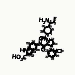 Cl.N[C@H](CF)[C@H]1CC[C@H](C(=O)N2CC[C@H](c3ccccc3)[C@H]2C(=O)Nc2ccc3[nH]c(C(=O)O)cc3c2)CC1